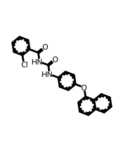 O=C(NC(=O)c1ccccc1Cl)Nc1ccc(Oc2cccc3ccccc23)cc1